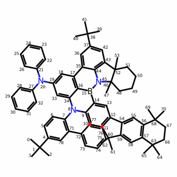 CC(C)(C)c1ccc(N2c3cc4c(cc3B3c5c(cc(N(c6ccccc6)c6ccccc6)cc52)-c2cc(C(C)(C)C)cc5c2N3C2(C)CCCCC52C)-c2cc3c(cc2C4(C)C)C(C)(C)CCC3(C)C)c(-c2ccccc2)c1